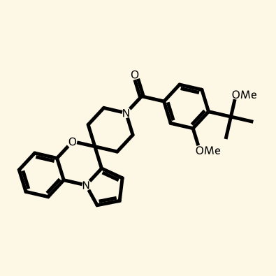 COc1cc(C(=O)N2CCC3(CC2)Oc2ccccc2-n2cccc23)ccc1C(C)(C)OC